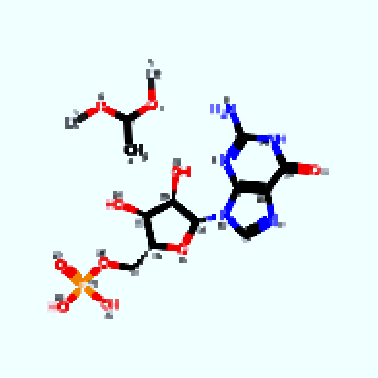 CCOC(C)OCC.Nc1nc2c(ncn2[C@@H]2O[C@H](COP(=O)(O)O)[C@@H](O)[C@H]2O)c(=O)[nH]1